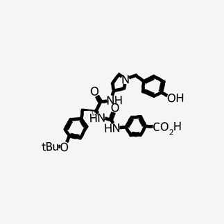 CC(C)(C)Oc1ccc(C[C@H](NC(=O)Nc2ccc(C(=O)O)cc2)C(=O)NC2CCN(Cc3ccc(O)cc3)C2)cc1